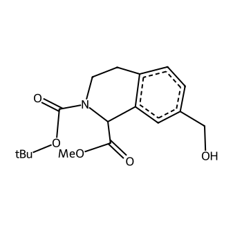 COC(=O)C1c2cc(CO)ccc2CCN1C(=O)OC(C)(C)C